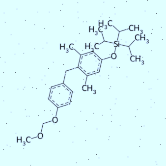 COCOc1ccc(Cc2c(C)cc(O[Si](C(C)C)(C(C)C)C(C)C)cc2C)cc1